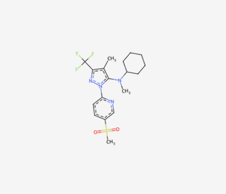 Cc1c(C(F)(F)F)nn(-c2ccc(S(C)(=O)=O)cn2)c1N(C)C1CCCCC1